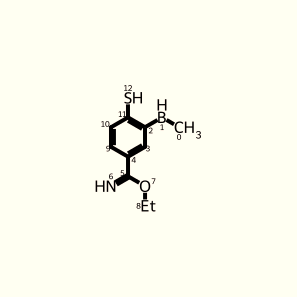 CBc1cc(C(=N)OCC)ccc1S